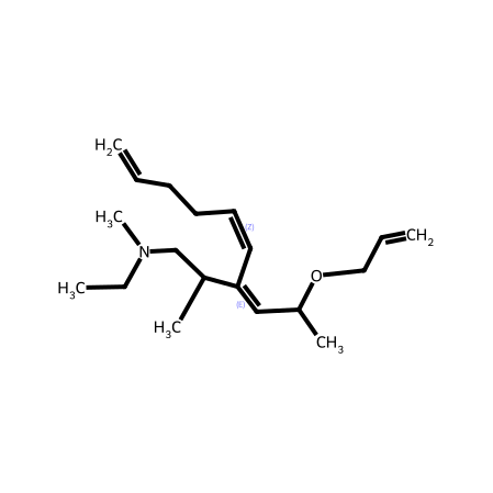 C=CCC/C=C\C(=C/C(C)OCC=C)C(C)CN(C)CC